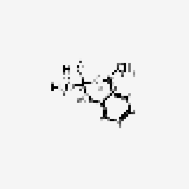 CSc1ccccc1OC(C)(C)C